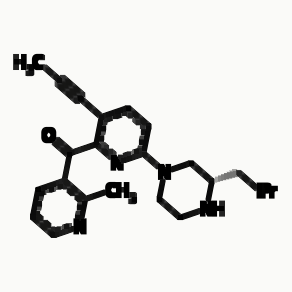 CC#Cc1ccc(N2CCN[C@@H](CC(C)C)C2)nc1C(=O)c1cccnc1C